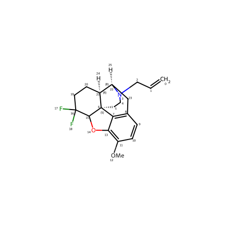 C=CCN1CC[C@]23c4c5ccc(OC)c4OC2C(F)(F)CC[C@H]3[C@H]1C5